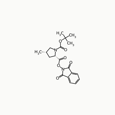 C[C@H]1C[C@@H](C(=O)ON2C(=O)c3ccccc3C2=O)N(C(=O)OC(C)(C)C)C1